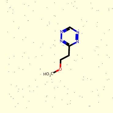 O=C(O)OCCc1nncnn1